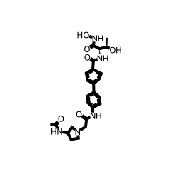 CC(=O)NC1CCN(CC(=O)Nc2ccc(-c3ccc(C(=O)N[C@H](C(=O)NO)[C@@H](C)O)cc3)cc2)C1